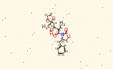 C[C@@H](C(=O)N1C(=O)OC[C@H]1Cc1ccccc1)[C@@H](O)CC1(C)OCCO1